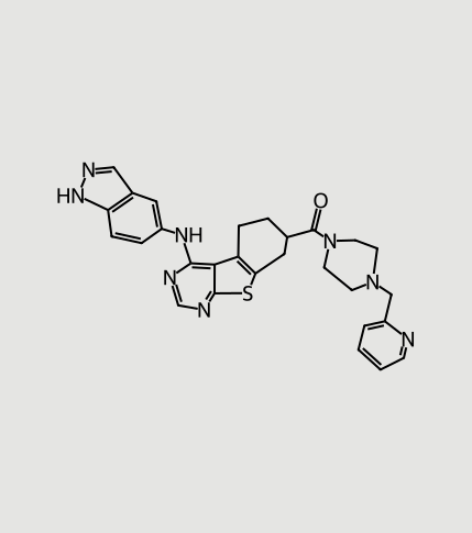 O=C(C1CCc2c(sc3ncnc(Nc4ccc5[nH]ncc5c4)c23)C1)N1CCN(Cc2ccccn2)CC1